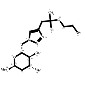 CCC(C)(Cc1cn(C[C@H]2O[C@H](OC)C[C@@H](O)[C@@H]2O)nn1)OCCC(C)C